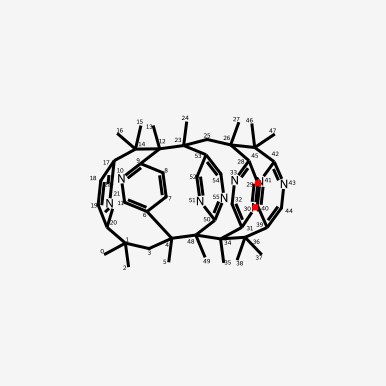 CC1(C)CC2(C)c3ccc(nc3)C(C)(C(C)(C)c3ccc1nc3)C1(C)CC3(C)c4cnc(cn4)C(C)(C(C)(C)c4cnc(nc4)C3(C)C)C2(C)c2ncc1cn2